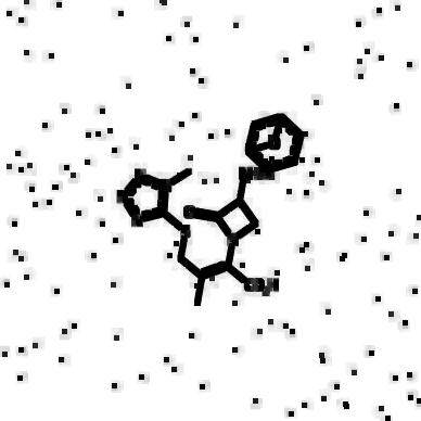 CC(=O)NC1CN(C(C(=O)O)=C(C)CSc2nnnn2C)C1=O.c1cc2cc(c1)O2